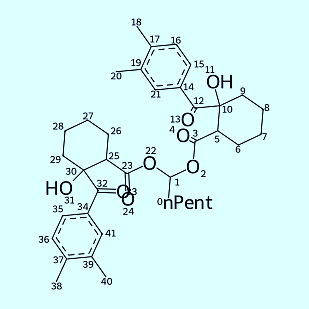 CCCCCC(OC(=O)C1CCCCC1(O)C(=O)c1ccc(C)c(C)c1)OC(=O)C1CCCCC1(O)C(=O)c1ccc(C)c(C)c1